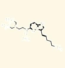 CCCC/C=C/c1cnc2ccc(NCCN(CC)CC)nn12.Cl